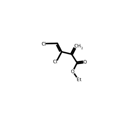 C=C(C(=O)OCC)C(Cl)=CCl